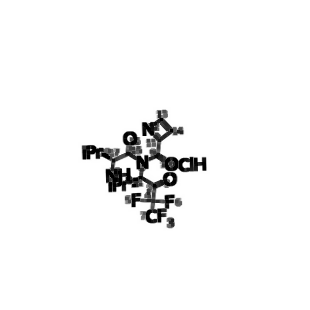 CC(C)C(C(=O)C(F)(F)C(F)(F)F)N(C(=O)C1=NC=C1)C(=O)[C@@H](N)C(C)C.Cl